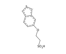 O=S(=O)(O)CCOc1ccc2[c]s[c]c2c1